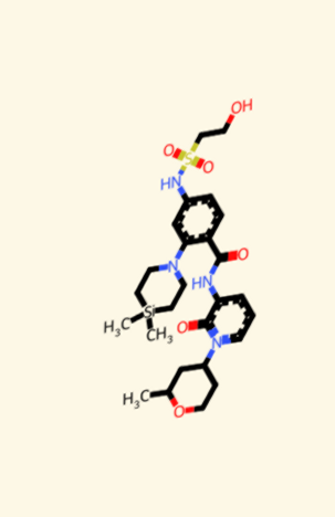 CC1CC(n2cccc(NC(=O)c3ccc(NS(=O)(=O)CCO)cc3N3CC[Si](C)(C)CC3)c2=O)CCO1